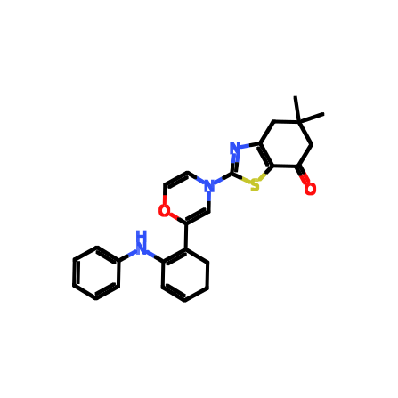 CC1(C)CC(=O)c2sc(N3C=COC(C4=C(Nc5ccccc5)C=CCC4)=C3)nc2C1